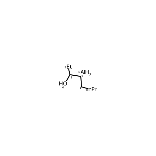 CCCCCC(O)CC.[AlH3]